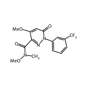 COc1cc(=O)n(-c2cccc(C(F)(F)F)c2)nc1C(=O)N(C)OC